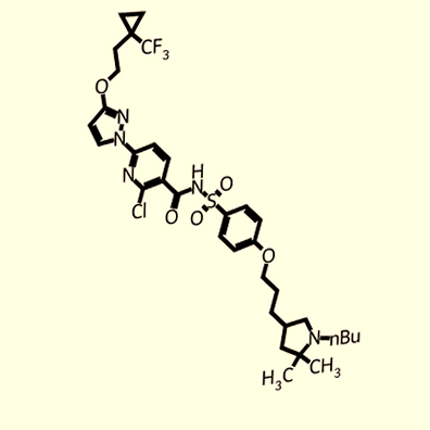 CCCCN1CC(CCCOc2ccc(S(=O)(=O)NC(=O)c3ccc(-n4ccc(OCCC5(C(F)(F)F)CC5)n4)nc3Cl)cc2)CC1(C)C